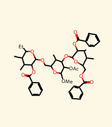 CCC1OC(OCC2OC(OC)C(OC(C)=O)C(OC3OC(COC(=O)c4ccccc4)C(C)C(C)C3OC(=O)c3ccccc3)C2C)C(OC(=O)c2ccccc2)C(C)C1C